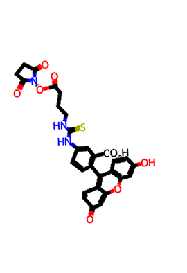 O=C(CCCNC(=S)Nc1ccc(-c2c3ccc(=O)cc-3oc3cc(O)ccc23)c(C(=O)O)c1)ON1C(=O)CCC1=O